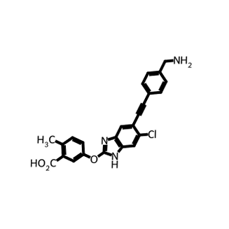 Cc1ccc(Oc2nc3cc(C#Cc4ccc(CN)cc4)c(Cl)cc3[nH]2)cc1C(=O)O